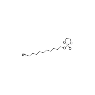 CC(C)CCCCCCCCCCOP1(=O)OCCO1